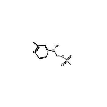 Cc1cc([C@H](O)COS(C)(=O)=O)ccn1